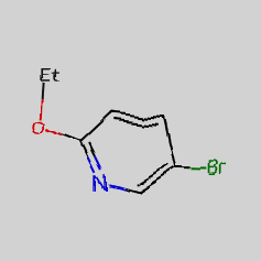 [CH2-][CH+]Oc1ccc(Br)cn1